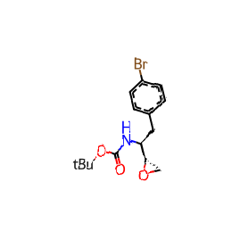 CC(C)(C)OC(=O)N[C@@H](Cc1ccc(Br)cc1)[C@@H]1CO1